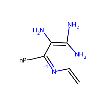 C=C/N=C(/CCC)C(N)=C(N)N